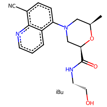 CC[C@H](C)[C@@H](CO)NC(=O)[C@H]1CN(c2ccc(C#N)c3ncccc23)C[C@@H](C)O1